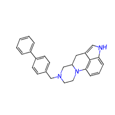 c1ccc(-c2ccc(CN3CCN4c5cccc6[nH]cc(c56)CC4C3)cc2)cc1